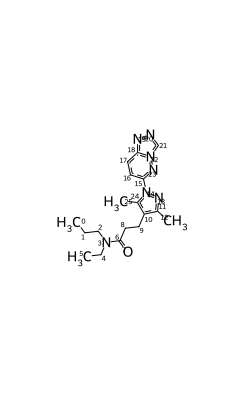 CCCN(CC)C(=O)CCc1c(C)nn(-c2ccc3nncn3n2)c1C